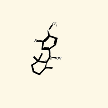 CC1CCCC(C)(C)[C@H]1[C@H](O)c1ccc(OC(F)(F)F)c(F)c1